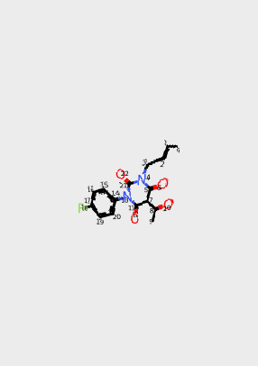 CC=CCN1C(=O)C(C(C)=O)C(=O)N(c2ccc(F)cc2)C1=O